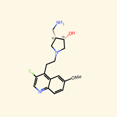 COc1ccc2ncc(F)c(CCN3C[C@H](CN)[C@H](O)C3)c2c1